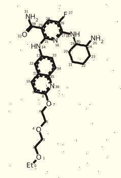 CCOCCOCCOc1ccc2cc(Nc3nc(N[C@@H]4CCCCC4N)c(F)cc3C(N)=O)ccc2n1